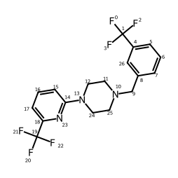 FC(F)(F)c1cccc(CN2CCN(c3cccc(C(F)(F)F)n3)CC2)c1